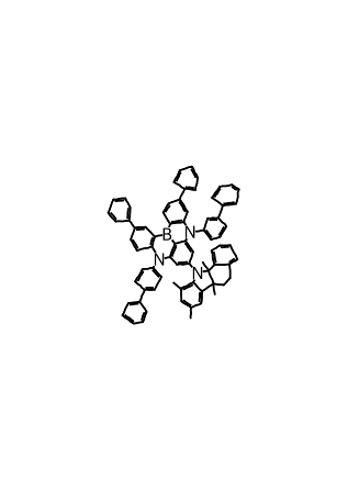 Cc1cc(C)c2c(c1)C1(C)CCc3ccccc3C1(C)N2c1cc2c3c(c1)N(c1cccc(-c4ccccc4)c1)c1cc(-c4ccccc4)ccc1B3c1cc(-c3ccccc3)ccc1N2c1ccc(-c2ccccc2)cc1